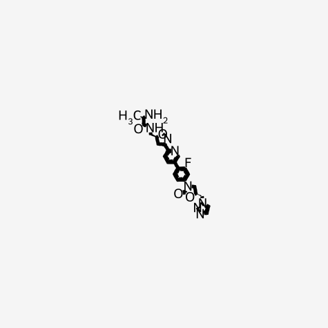 C[C@H](N)C(=O)NC[C@@H]1CC(c2ccc(-c3ccc(N4C[C@H](Cn5ccnn5)OC4=O)cc3F)cn2)=NO1